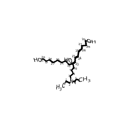 CCCN(CCC)CCCCC(O)(CCCCCCCCO)CCCCCCCCO